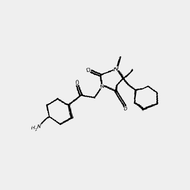 CN1C(=O)N(CC(=O)C2CCC(N)CC2)C(=O)C1(C)C1CCCCC1